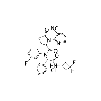 N#Cc1cccnc1N1C(=O)CCC1C(=O)N(c1cccc(F)c1)C(C(=O)NC1CC(F)(F)C1)c1ccccc1Cl